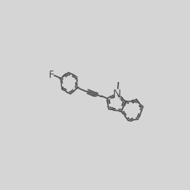 Cn1c(C#Cc2ccc(F)cc2)cc2ccccc21